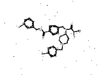 CCC(CC)C(=O)N(Cc1ccc(C(=O)NCc2cccc(F)c2)cc1)C1CCN(Cc2ccc(Cl)cc2)CC1